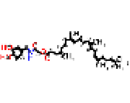 CC(C)=CCCC(C)=CCCC(C)=CCCC=C(C)CCC=C(C)CCC(=O)OCC(=O)NCc1ccc(O)c(O)c1